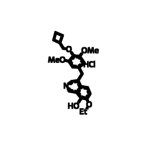 CCOc1ccc2c(Cc3cc(OC)c(OCC4CCC4)c(OC)c3)cncc2c1O.Cl